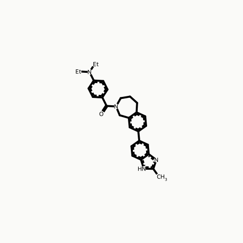 CCN(CC)c1ccc(C(=O)N2CCCc3ccc(-c4ccc5[nH]c(C)nc5c4)cc3C2)cc1